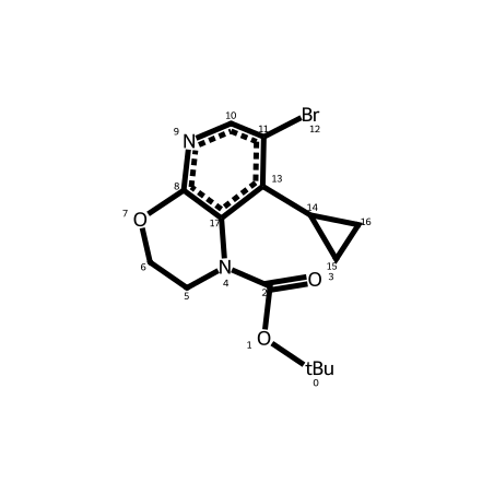 CC(C)(C)OC(=O)N1CCOc2ncc(Br)c(C3CC3)c21